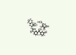 CN[C@H](CNC(=O)c1cccc([C@@H](OCCN(C)C(=O)O)c2cccc(Cl)c2)c1)C[C@H]1CCCOC1.Cl